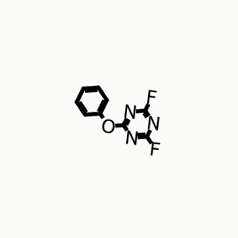 Fc1nc(F)nc(Oc2ccccc2)n1